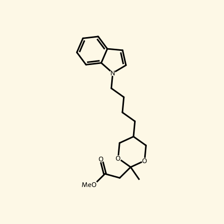 COC(=O)CC1(C)OCC(CCCCn2ccc3ccccc32)CO1